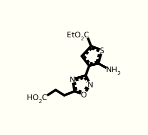 CCOC(=O)c1cc(-c2noc(CCC(=O)O)n2)c(N)s1